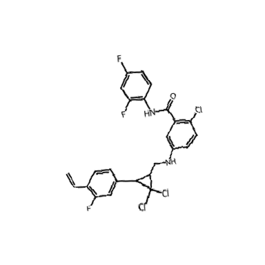 C=Cc1ccc(C2C(CNc3ccc(Cl)c(C(=O)Nc4ccc(F)cc4F)c3)C2(Cl)Cl)cc1F